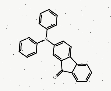 O=C1c2ccccc2-c2ccc(N(c3ccccc3)c3ccccc3)cc21